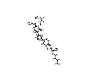 COC(=O)[C@H](CO[Si](C)(C)C(C)(C)C)NC(=O)c1csc(N2CCC(CNC(=O)CCCCCCl)CC2)n1